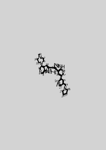 CN1CCN(c2cncc3[nH]c(-c4n[nH]c5ncc(-c6cncc(CN7CCCC7)c6)cc45)cc23)CC1